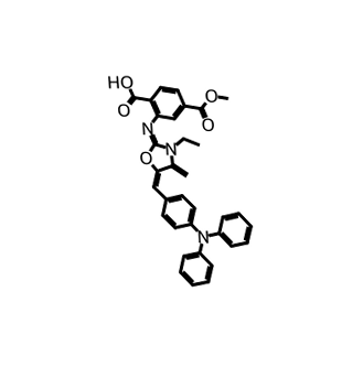 C=c1/c(=C\c2ccc(N(c3ccccc3)c3ccccc3)cc2)o/c(=N/c2cc(C(=O)OC)ccc2C(=O)O)n1CC